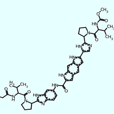 COC(=O)NC(C(=O)N1CCCC1c1ncc(-c2cc3cc4cc(C(=O)Nc5ccc6nc(C7CCCN7C(=O)C(NC(=O)CO)C(C)C)[nH]c6c5)[nH]c4cc3[nH]2)[nH]1)C(C)C